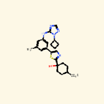 Cc1cc(Nc2ncnn2C2CCC2)cc(-c2cnc(C3(O)CCC(C(=O)O)CC3)s2)c1